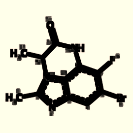 Cc1nc2cc(Br)c(F)c3c2n1C(C)C(=O)N3